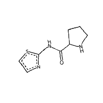 O=C(Nc1nccs1)C1CCCN1